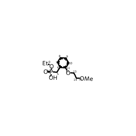 CCOP(=O)(O)Cc1ccccc1OCCOC